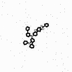 c1ccc(-c2cccc(N(c3ccc4c(c3)oc3cc5nc(-c6ccccc6)oc5cc34)c3ccc4c5ccccc5n(-c5ccccc5)c4c3)c2)cc1